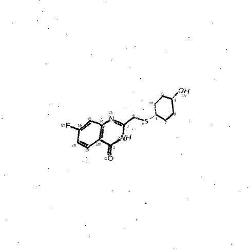 O=c1[nH]c(CS[C@H]2CC[C@H](O)CC2)nc2cc(F)ccc12